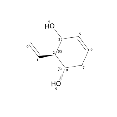 C=C[C@H]1C(O)C=CC[C@@H]1O